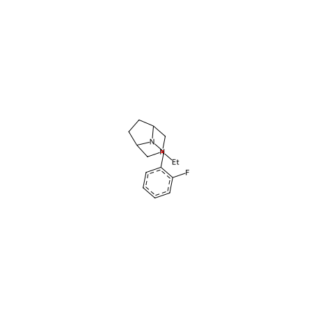 CCN1CC2CCC(C1)N2Cc1ccccc1F